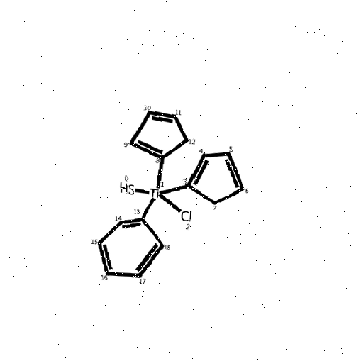 [SH][Ti]([Cl])([C]1=CC=CC1)([C]1=CC=CC1)[c]1ccccc1